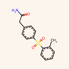 Cc1ccccc1S(=O)(=O)c1ccc(CC(N)=O)cc1